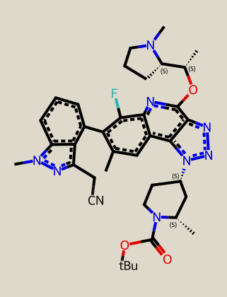 Cc1cc2c(nc(O[C@@H](C)[C@@H]3CCCN3C)c3nnn([C@H]4CCN(C(=O)OC(C)(C)C)[C@@H](C)C4)c32)c(F)c1-c1cccc2c1c(CC#N)nn2C